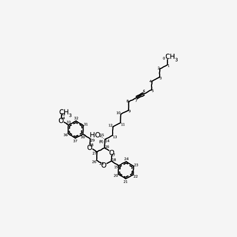 CCCCCCC#CCCCCCC[C@@H](O)C1OC(c2ccccc2)OCC1OCc1ccc(OC)cc1